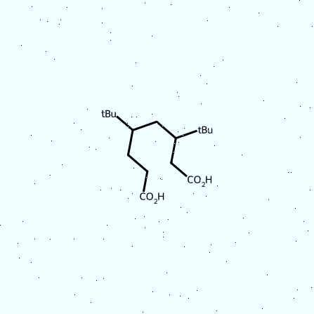 CC(C)(C)C(CCC(=O)O)CC(CC(=O)O)C(C)(C)C